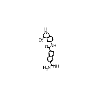 CC[C@H]1CNCc2ccc(NC(=O)c3ccc4cc(C(=N)N)ccc4c3)cc21